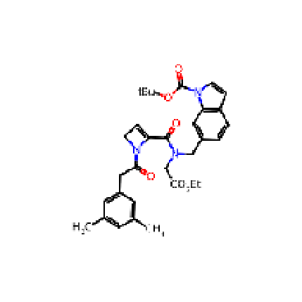 CCOC(=O)CN(Cc1ccc2ccn(C(=O)OC(C)(C)C)c2c1)C(=O)C1=CCN1C(=O)Cc1cc(C)cc(C)c1